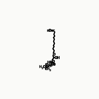 CCCCCCCCCCCCCCCCCCCCCCOC[C@H](O)COP(=O)(O)OCC[N+](C)(C)C